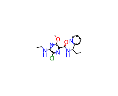 CCNc1nc(OC)c(C(=O)NC(CC)c2ccccn2)nc1Cl